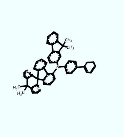 CC1(C)c2ccccc2-c2ccc(N(c3ccc(C4=CC=CCC4)cc3)c3cccc4c3-c3ccccc3C43c4ccccc4C(C)(C)c4ccccc43)cc21